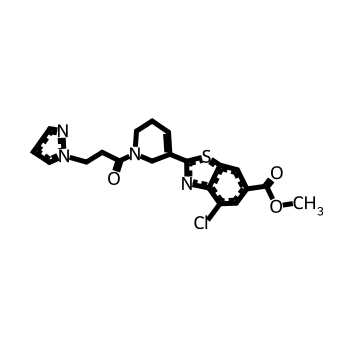 COC(=O)c1cc(Cl)c2nc(C3=CCCN(C(=O)CCn4cccn4)C3)sc2c1